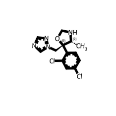 C[C@H]1NCO[C@@]1(Cn1cncn1)c1ccc(Cl)cc1Cl